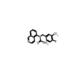 NC(=O)N(Cc1ccc(F)c(C(F)(F)F)c1)c1cccc2cnccc12